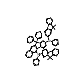 CC1(C)c2ccccc2-c2ccc(N(c3ccccc3)c3ccc4c(c3)C(C3=CCCC=C3)(c3ccccc3)c3cc5ccccc5c(N(c5ccccc5)c5ccc6c(c5)C(C)(C)c5ccccc5-6)c3-4)cc21